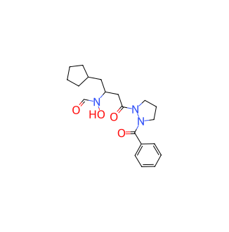 O=CN(O)C(CC(=O)N1CCCN1C(=O)c1ccccc1)CC1CCCC1